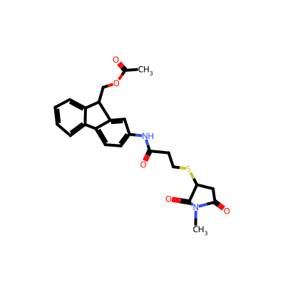 CC(=O)OCC1c2ccccc2-c2ccc(NC(=O)CCSC3CC(=O)N(C)C3=O)cc21